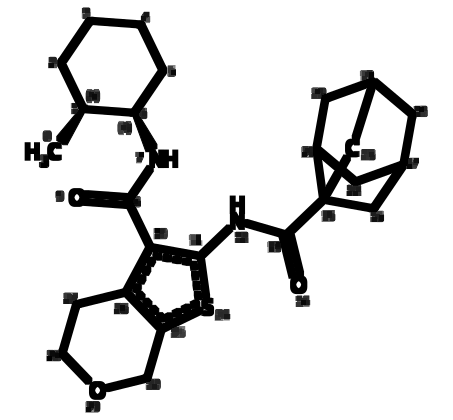 C[C@H]1CCCC[C@H]1NC(=O)c1c(NC(=O)C23CC4CC(CC2C4)C3)sc2c1CCOC2